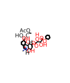 CC(=O)OC(C)C(=O)O.CN1CC[C@]23c4c5ccc(O)c4O[C@H]2C(OC(=O)[C@H](O)[C@@H](O)C(=O)Oc2ccccc2)=CC[C@@]3(O)[C@H]1C5